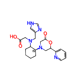 O=C(O)CN(Cc1c[nH]cn1)C1CCCC[C@@H]1N1CC(=O)OC(c2ccccn2)C1